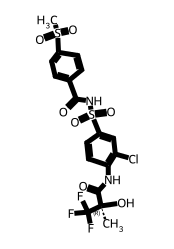 C[C@@](O)(C(=O)Nc1ccc(S(=O)(=O)NC(=O)c2ccc(S(C)(=O)=O)cc2)cc1Cl)C(F)(F)F